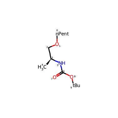 CCCCCOC[C@H](C)NC(=O)OC(C)(C)C